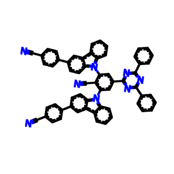 N#Cc1ccc(-c2ccc3c(c2)c2ccccc2n3-c2cc(-c3nc(-c4ccccc4)nc(-c4ccccc4)n3)cc(-n3c4ccccc4c4cc(-c5ccc(C#N)cc5)ccc43)c2C#N)cc1